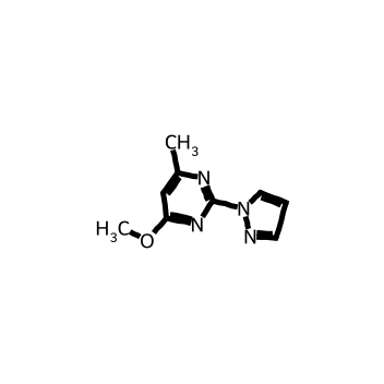 COc1cc(C)nc(-n2cccn2)n1